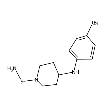 CC(C)(C)c1ccc(NC2CCN(SN)CC2)cc1